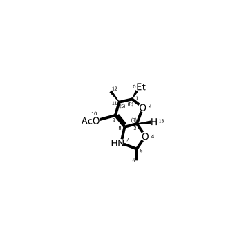 CC[C@H]1O[C@@H]2OC(C)NC2=C(OC(C)=O)[C@H]1C